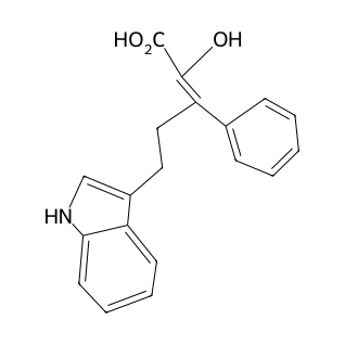 O=C(O)/C(O)=C(\CCc1c[nH]c2ccccc12)c1ccccc1